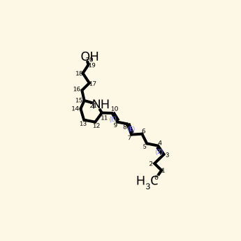 CCC/C=C\CC/C=C/C=C/C1CCCC(CCCCO)N1